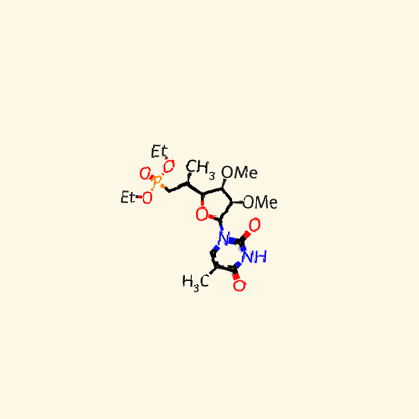 CCOP(=O)(C[C@@H](C)C1OC(n2cc(C)c(=O)[nH]c2=O)[C@H](OC)[C@@H]1OC)OCC